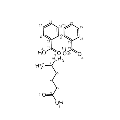 CC(C)CCCC(=O)O.O=C(O)c1ccccc1.O=C(O)c1ccccc1